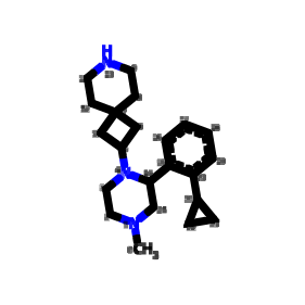 CN1CCN(C2CC3(CCNCC3)C2)C(c2ccccc2C2CC2)C1